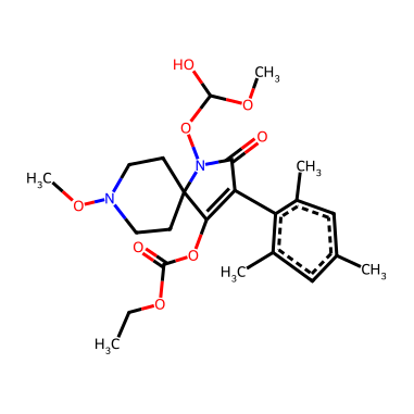 CCOC(=O)OC1=C(c2c(C)cc(C)cc2C)C(=O)N(OC(O)OC)C12CCN(OC)CC2